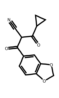 N#CC(C(=O)c1ccc2c(c1)OCO2)C(=O)C1CC1